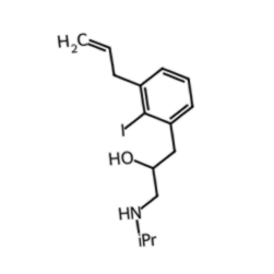 C=CCc1cccc(CC(O)CNC(C)C)c1I